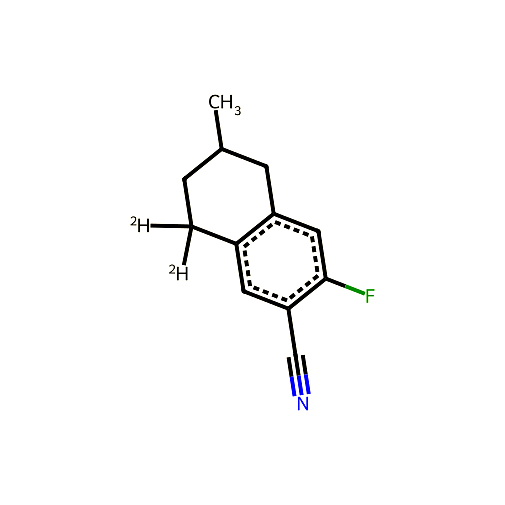 [2H]C1([2H])CC(C)Cc2cc(F)c(C#N)cc21